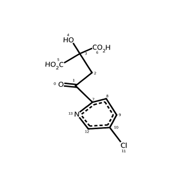 O=C(CC(O)(C(=O)O)C(=O)O)c1ccc(Cl)cn1